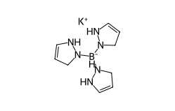 C1=CNN([BH-](N2CC=CN2)N2CC=CN2)C1.[K+]